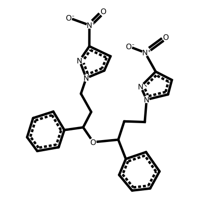 O=[N+]([O-])c1ccn(CCC(OC(CCn2ccc([N+](=O)[O-])n2)c2ccccc2)c2ccccc2)n1